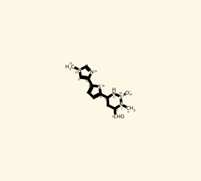 CN1C(C=O)CC(c2ccc(-c3cn(C)cn3)s2)N[S+]1[O-]